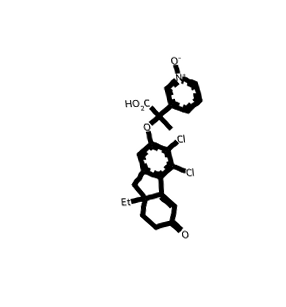 CCC12CCC(=O)C=C1c1c(cc(OC(C)(C(=O)O)c3ccc[n+]([O-])c3)c(Cl)c1Cl)C2